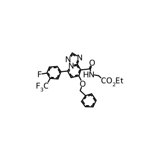 CCOC(=O)CNC(=O)c1c(OCc2ccccc2)cc(-c2ccc(F)c(C(F)(F)F)c2)n2ncnc12